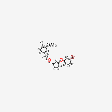 COc1cc(C(C)(C)COCc2cccc(Oc3cccc(Br)c3)c2)ccc1C